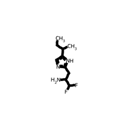 CCC(C)c1cnc(CC(N)C(F)F)[nH]1